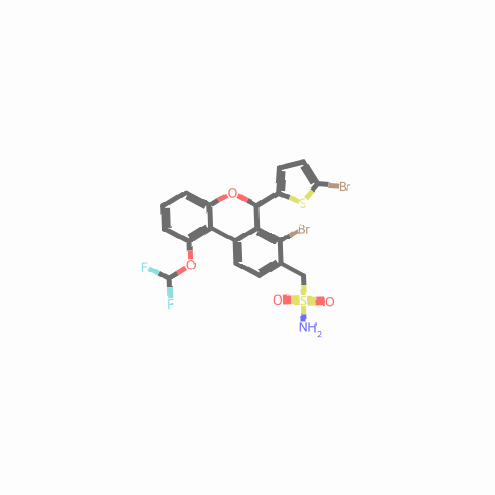 NS(=O)(=O)Cc1ccc2c(c1Br)C(c1ccc(Br)s1)Oc1cccc(OC(F)F)c1-2